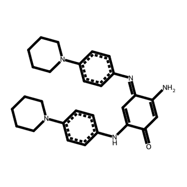 NC1=CC(=O)C(Nc2ccc(N3CCCCC3)cc2)=C/C1=N\c1ccc(N2CCCCC2)cc1